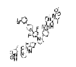 COC(=O)N[C@H](C(=O)N1CCCC1c1nc2cc([C@H]3CC[C@H](c4ccc5[nH]c([C@@H]6CCCN6C(=O)[C@@H](NC(=O)OC)C(C)C)nc5c4)N3c3cc(F)c(N4CCC(c5cccc([Si](C)(C)C)c5)CC4)c(F)c3)ccc2[nH]1)C(C)C